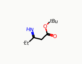 C[CH]C(=N)CC(=O)OC(C)(C)C